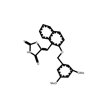 COc1cc(COc2ccc3ccccc3c2C=C2SC(=S)NC2=O)cc(OC)c1